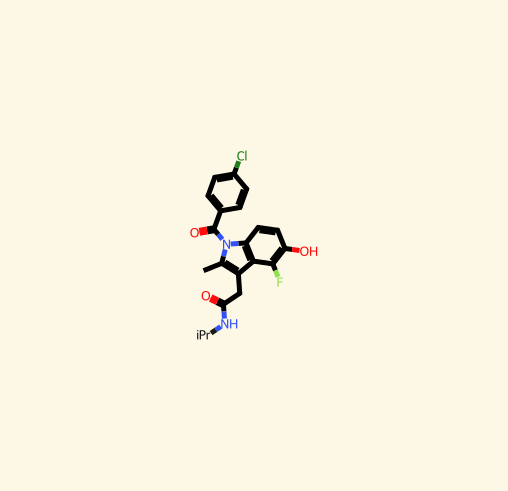 Cc1c(CC(=O)NC(C)C)c2c(F)c(O)ccc2n1C(=O)c1ccc(Cl)cc1